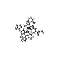 NC(=O)c1ccc2c(c1)nc(-c1c(C(=O)O)sc3cccc(Br)c13)n2CCn1c(-c2c(C(=O)O)sc3cccc(Br)c23)nc2cc(C(N)=O)ccc21